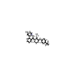 C=NN(/N=C\C)c1ncccc1C(=O)N1CCC[C@@H](Oc2cnc(C(F)(F)F)cn2)[C@@H]1C